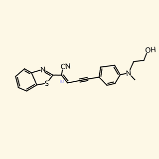 CN(CCO)c1ccc(C#C/C=C(\C#N)c2nc3ccccc3s2)cc1